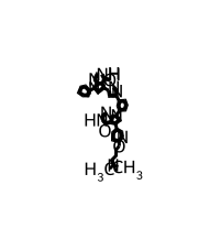 CN(C)CCCOc1ccc(-c2cn(-c3cccc(-c4cc(-c5cn(-c6ccccc6)c6nc[nH]c(=O)c56)[nH]n4)c3)c3nc[nH]c(=O)c23)cn1